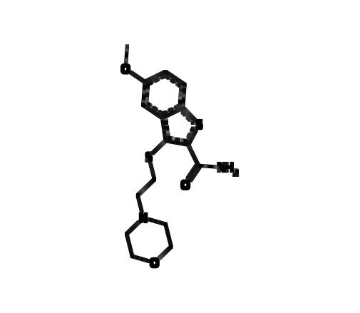 COc1ccc2sc(C(N)=O)c(SCCN3CCOCC3)c2c1